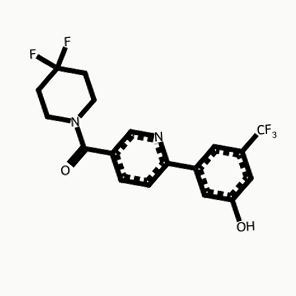 O=C(c1ccc(-c2cc(O)cc(C(F)(F)F)c2)nc1)N1CCC(F)(F)CC1